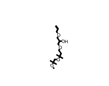 C=CCOCC(O)COCCC(C)(C)OCC(C)(C)OC